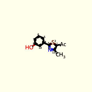 CC(=O)c1sc(-c2cccc(O)c2)nc1C